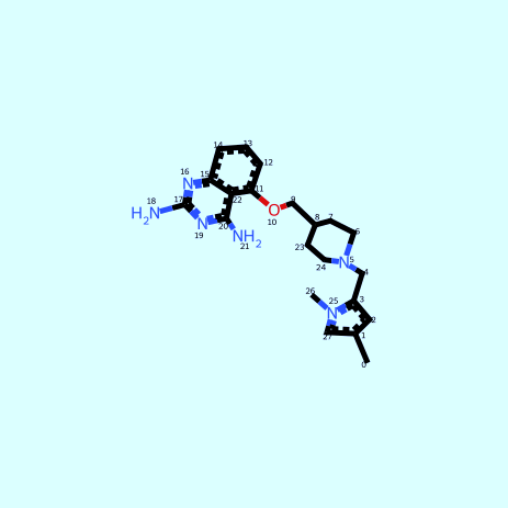 Cc1cc(CN2CCC(COc3cccc4nc(N)nc(N)c34)CC2)n(C)c1